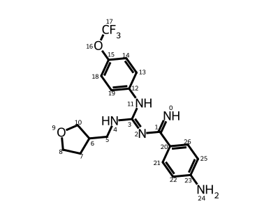 N=C(/N=C(/NCC1CCOC1)Nc1ccc(OC(F)(F)F)cc1)c1ccc(N)cc1